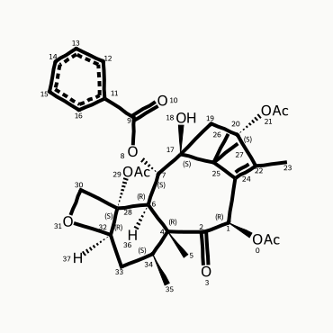 CC(=O)O[C@H]1C(=O)[C@@]2(C)[C@H]([C@H](OC(=O)c3ccccc3)[C@]3(O)C[C@H](OC(C)=O)C(C)=C1C3(C)C)[C@]1(OC(C)=O)CO[C@@H]1C[C@@H]2C